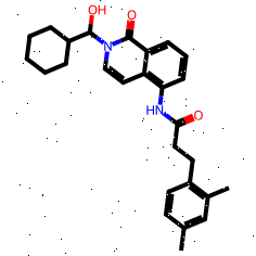 Cc1ccc(CCC(=O)Nc2cccc3c(=O)n(C(O)C4CCCCC4)ccc23)c(C)c1